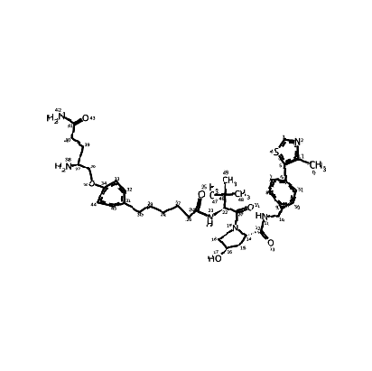 Cc1ncsc1-c1ccc(CNC(=O)[C@@H]2C[C@@H](O)CN2C(=O)[C@@H](NC(=O)CCCCCc2ccc(OC[C@@H](N)CCC(N)=O)cc2)C(C)(C)C)cc1